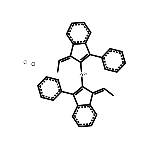 CC=C1[C]([Zr+2][C]2=C(c3ccccc3)c3ccccc3C2=CC)=C(c2ccccc2)c2ccccc21.[Cl-].[Cl-]